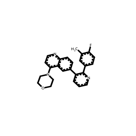 Cc1cc(-c2ncccc2-c2ccc3nccc(N4CCOCC4)c3c2)ccc1F